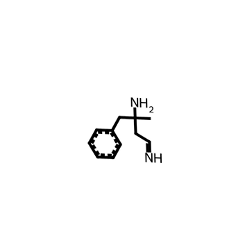 CC(N)(CC=N)Cc1ccccc1